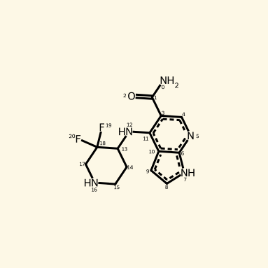 NC(=O)c1cnc2[nH]ccc2c1NC1CCNCC1(F)F